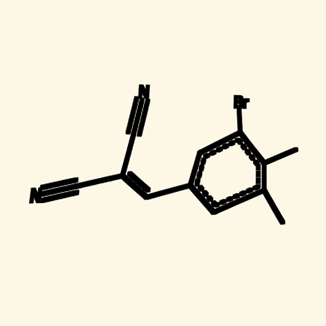 Cc1cc(C=C(C#N)C#N)cc(Br)c1C